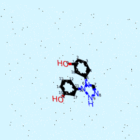 Oc1cccc(N2[C]=NNN2c2cccc(O)c2)c1